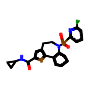 O=C(NC1CC1)c1cc2c(s1)-c1ccccc1N(S(=O)(=O)c1cccc(Br)n1)CC2